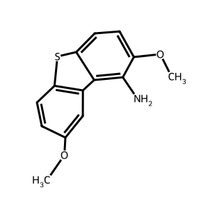 COc1ccc2sc3ccc(OC)c(N)c3c2c1